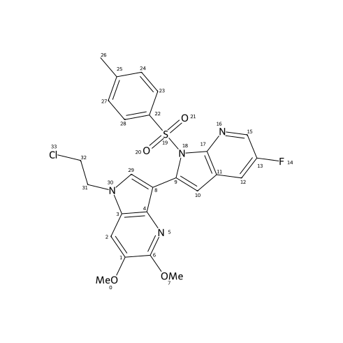 COc1cc2c(nc1OC)c(-c1cc3cc(F)cnc3n1S(=O)(=O)c1ccc(C)cc1)cn2CCCl